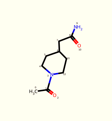 CC(=O)N1CCC(CC(N)=O)CC1